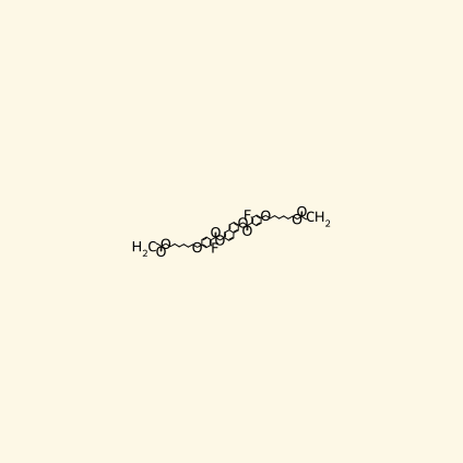 C=CC(=O)OCCCCCCOc1ccc(C(=O)Oc2ccc3cc(OC(=O)c4ccc(OCCCCCCOC(=O)C=C)cc4F)ccc3c2)c(F)c1